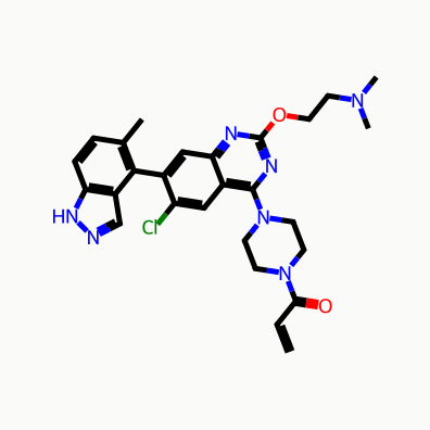 C=CC(=O)N1CCN(c2nc(OCCN(C)C)nc3cc(-c4c(C)ccc5[nH]ncc45)c(Cl)cc23)CC1